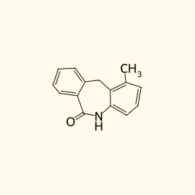 Cc1cccc2c1Cc1ccccc1C(=O)N2